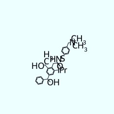 CC(C)c1cc(C(O)c2ccccc2)cc(C(C)O)c1CC(=O)NSc1ccc(CN(C)C)cc1